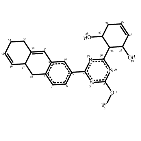 CC(C)Oc1nc(-c2ccc3c(c2)C=C2CCC=CC2C3)nc(C2C(O)C=CCC2O)n1